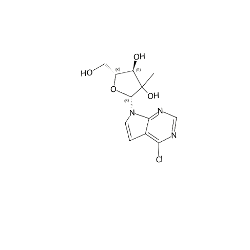 CC1(O)[C@H](O)[C@@H](CO)O[C@H]1n1ccc2c(Cl)ncnc21